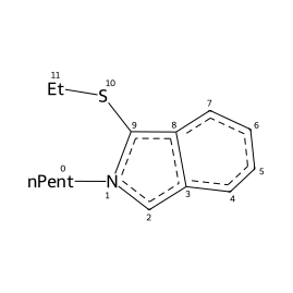 CCCCCn1cc2ccccc2c1SCC